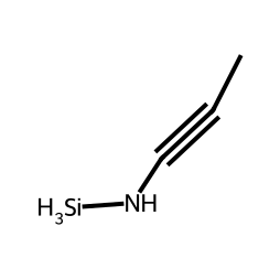 CC#CN[SiH3]